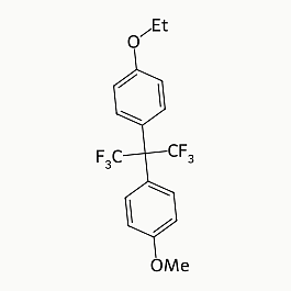 CCOc1ccc(C(c2ccc(OC)cc2)(C(F)(F)F)C(F)(F)F)cc1